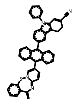 C=C1N=C2C=CC(c3c4ccccc4c(-c4ccc5c(c4)c4c(n5-c5ccccc5)C=C(C#N)CC4)c4ccccc34)=CN2Sc2ccccc21